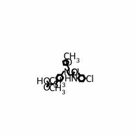 Cc1ccc(CN(CC(=O)Nc2ccc(Cl)cc2Cl)Cc2ccc(SC(C)(C)C(=O)O)cc2)o1